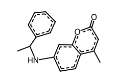 Cc1cc(=O)oc2cc(NC(C)c3ccccc3)ccc12